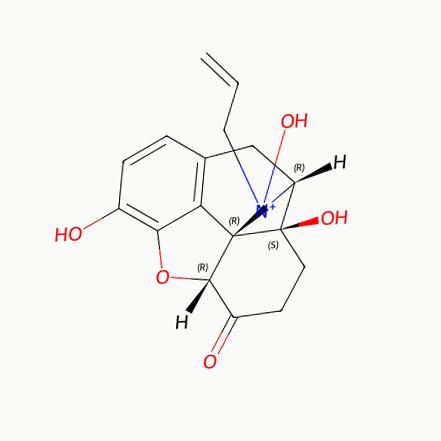 C=CC[N+]1(O)C[C@]23c4c5ccc(O)c4O[C@H]2C(=O)CC[C@@]3(O)[C@H]1C5